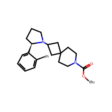 CC(C)c1ccccc1[C@H]1CCCN1C1CC2(CCN(C(=O)OC(C)(C)C)CC2)C1